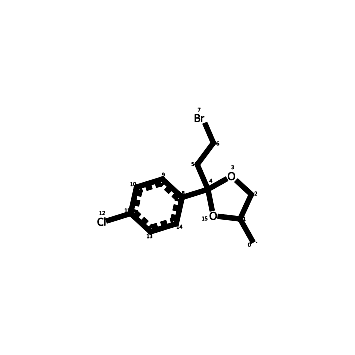 [CH2]C1COC(CCBr)(c2ccc(Cl)cc2)O1